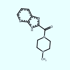 CN1CCN(C(=O)c2nc3cccnc3[nH]2)CC1